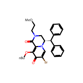 CCCCOc1c2n(cc(Br)c1=O)[C@@H](C(c1ccccc1)c1ccccc1)CN(CCOC)C2=O